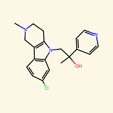 CN1CCc2c(c3ccc(Cl)cc3n2CC(C)(O)c2ccncc2)C1